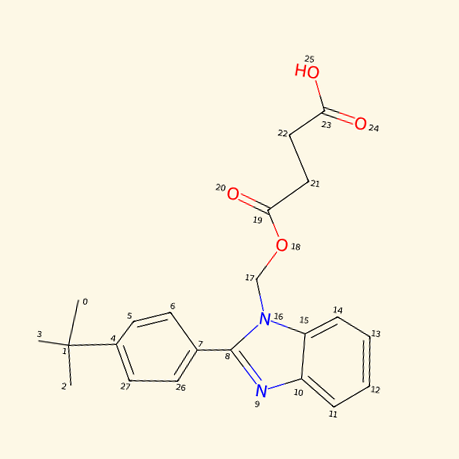 CC(C)(C)c1ccc(-c2nc3ccccc3n2COC(=O)CCC(=O)O)cc1